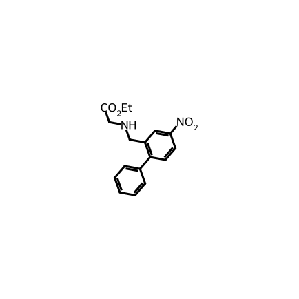 CCOC(=O)CNCc1cc([N+](=O)[O-])ccc1-c1ccccc1